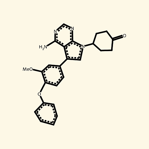 COc1cc(-c2cn(C3CCC(=O)CC3)c3ncnc(N)c23)ccc1Oc1ccccc1